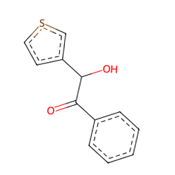 O=C(c1ccccc1)C(O)c1ccsc1